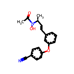 CC(=O)N(O)[C@@H](C)/C=C/c1cccc(Oc2ccc(C#N)cc2)c1